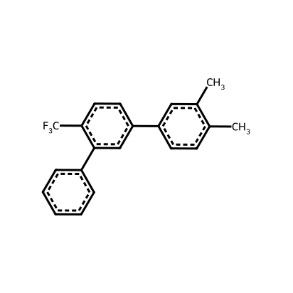 Cc1ccc(-c2ccc(C(F)(F)F)c(-c3ccccc3)c2)cc1C